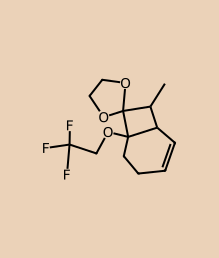 CC1C2C=CCCC2(OCC(F)(F)F)C12OCCO2